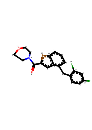 O=C(c1cc2c(Cc3ccc(F)cc3F)cccc2s1)N1CCOCC1